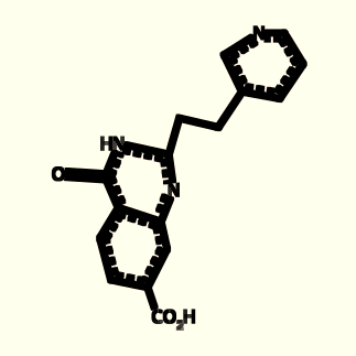 O=C(O)c1ccc2c(=O)[nH]c(CCc3cccnc3)nc2c1